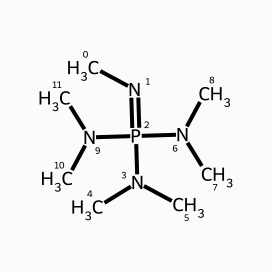 CN=P(N(C)C)(N(C)C)N(C)C